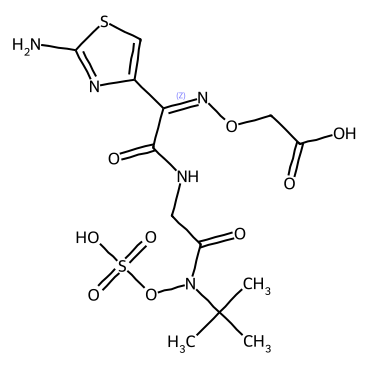 CC(C)(C)N(OS(=O)(=O)O)C(=O)CNC(=O)/C(=N\OCC(=O)O)c1csc(N)n1